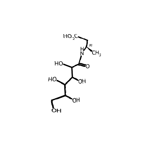 C[C@H](CC(=O)O)NC(=O)C(O)C(O)C(O)C(O)CO